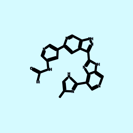 CCC(=O)Nc1cncc(-c2cc3c(-c4nc5c(-c6nc(C)c[nH]6)cncc5[nH]4)n[nH]c3cn2)c1